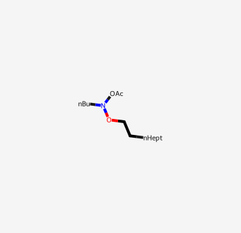 CCCCCCCCCON(CCCC)OC(C)=O